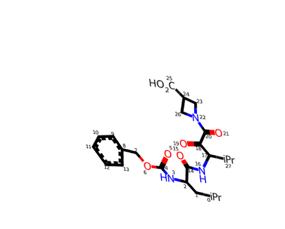 CC(C)CC(NC(=O)OCc1ccccc1)C(=O)NC(C(=O)C(=O)N1CC(C(=O)O)C1)C(C)C